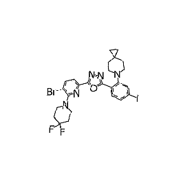 FC1(F)CCN(c2nc(-c3nnc(-c4ccc(I)cc4N4CCC5(CC4)CC5)o3)ccc2Br)CC1